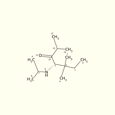 CCC(C)(C)[C@H](NC(C)C)C(=O)C(C)C